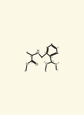 COC(=O)C(C)NCc1ccccc1C(OC)OC